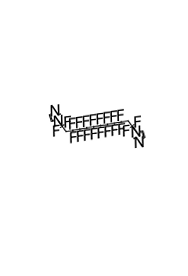 FC(F)(CC(F)(F)C(F)(F)C(F)(F)C(F)(F)C(F)(F)C(F)(F)C(F)(F)C(F)(F)CC(F)(F)n1ccnc1)n1ccnc1